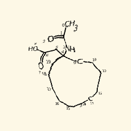 CC(=O)NC1(CC(=O)O)CCCCCCCCCCC1